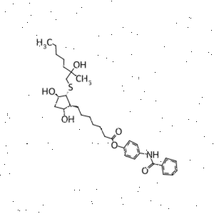 CCCCCC(C)(O)CS[C@H]1[C@H](O)CC(O)[C@@H]1CCCCCCC(=O)Oc1ccc(NC(=O)c2ccccc2)cc1